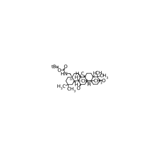 CC1(C)CC[C@]2(CNC(=O)OC(C)(C)C)CC[C@]3(C)[C@H](C(=O)C[C@@H]4[C@@]5(C)CCC(=O)C(C)(C)[C@@H]5CC[C@]43C)[C@@H]2C1